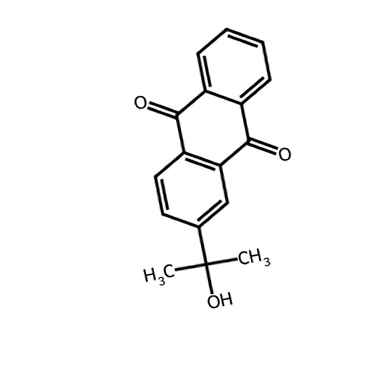 CC(C)(O)c1ccc2c(c1)C(=O)c1ccccc1C2=O